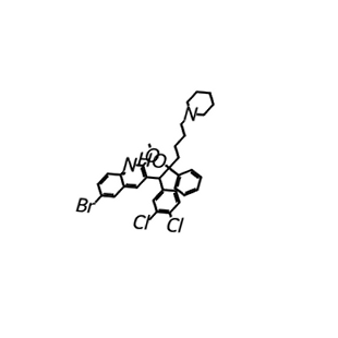 COc1nc2ccc(Br)cc2cc1C(c1ccc(Cl)c(Cl)c1)C(O)(CCCCN1CCCCC1)c1ccccc1